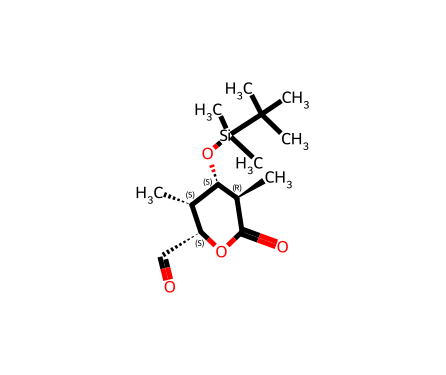 C[C@@H]1[C@H](O[Si](C)(C)C(C)(C)C)[C@@H](C)C(=O)O[C@@H]1C=O